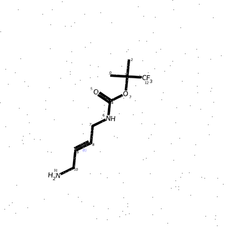 CC(C)(OC(=O)NC/C=C/CN)C(F)(F)F